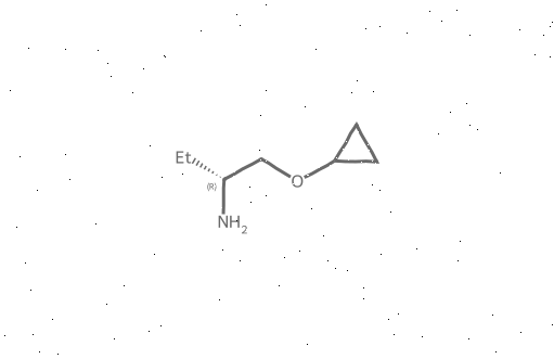 CC[C@@H](N)COC1CC1